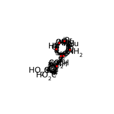 CC[C@H](C)[C@@H]1NC(=O)[C@H](CC(C)C)NC(=O)CNC(=O)CCSCc2cc(CSCCNC(=O)CN3CCN(CC(=O)O)CCN(CC(=O)O)CCN(CC(=O)O)CC3)cc(c2)CSC[C@@H](C(N)=O)NC1=O